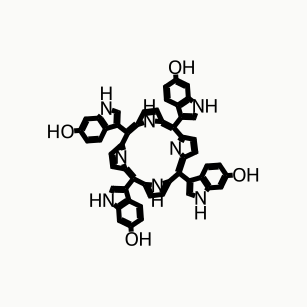 Oc1ccc2c(-c3c4nc(c(-c5c[nH]c6cc(O)ccc56)c5ccc([nH]5)c(-c5c[nH]c6cc(O)ccc56)c5nc(c(-c6c[nH]c7cc(O)ccc67)c6ccc3[nH]6)C=C5)C=C4)c[nH]c2c1